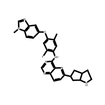 Cc1cc(Nc2ncnc3ccc(C4CC5CCNC5C4)nc23)c(F)cc1Oc1ccc2c(c1)ncn2C